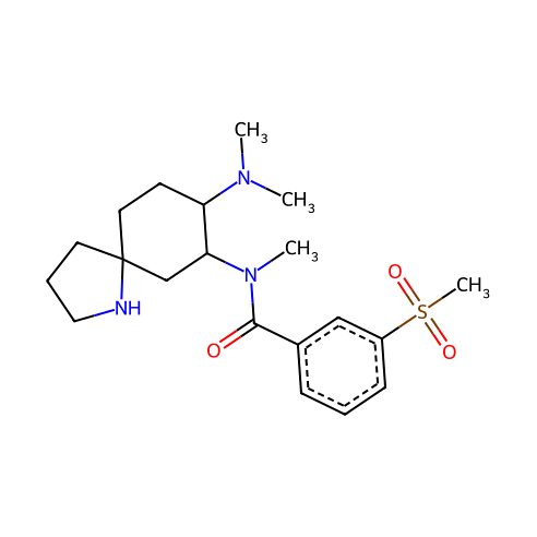 CN(C)C1CCC2(CCCN2)CC1N(C)C(=O)c1cccc(S(C)(=O)=O)c1